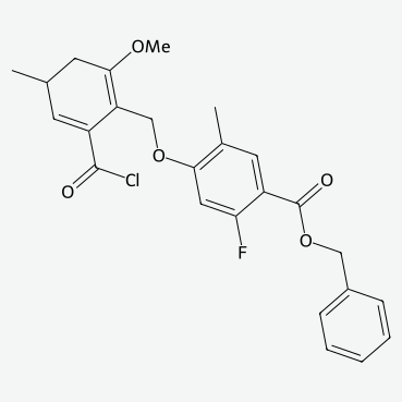 COC1=C(COc2cc(F)c(C(=O)OCc3ccccc3)cc2C)C(C(=O)Cl)=CC(C)C1